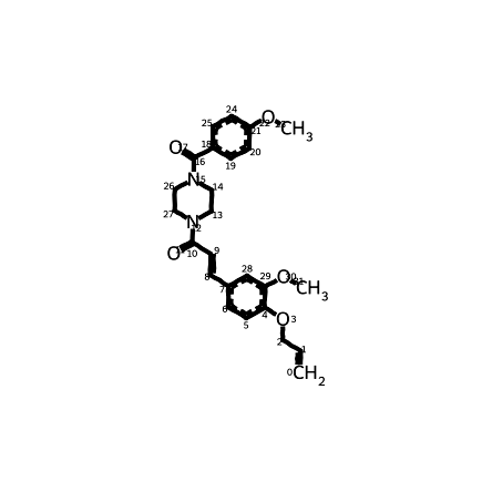 C=CCOc1ccc(/C=C/C(=O)N2CCN(C(=O)c3ccc(OC)cc3)CC2)cc1OC